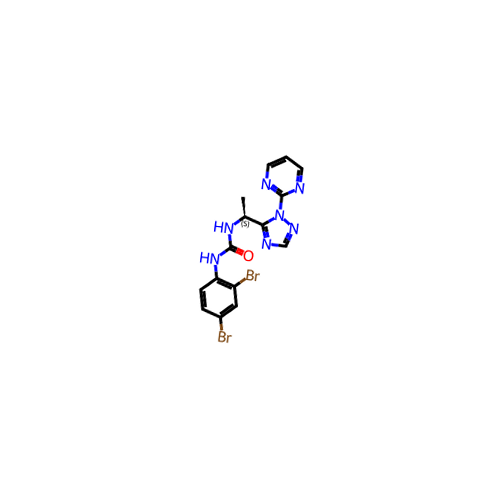 C[C@H](NC(=O)Nc1ccc(Br)cc1Br)c1ncnn1-c1ncccn1